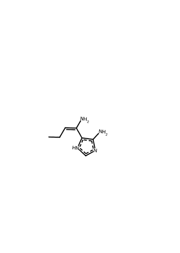 CC/C=C(/N)c1[nH]cnc1N